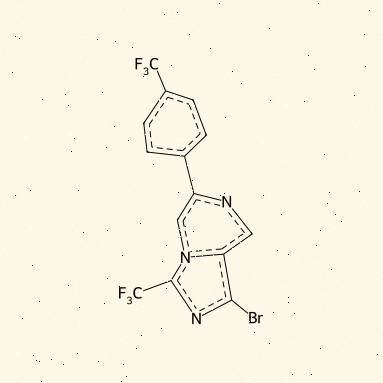 FC(F)(F)c1ccc(-c2cn3c(C(F)(F)F)nc(Br)c3cn2)cc1